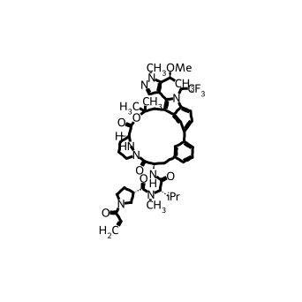 C=CC(=O)N1CC[C@H](C(=O)N(C)[C@H](C(=O)N[C@H]2Cc3cccc(c3)-c3ccc4c(c3)c(c(-c3cnn(C)c3[C@H](C)OC)n4CC(F)(F)F)CC(C)(C)OC(=O)[C@@H]3CCCN(N3)C2=O)C(C)C)C1